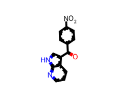 O=C(c1ccc([N+](=O)[O-])cc1)c1c[nH]c2ncccc12